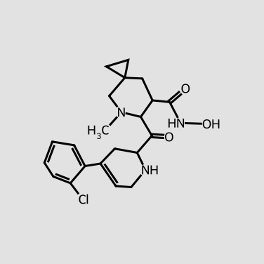 CN1CC2(CC2)CC(C(=O)NO)C1C(=O)C1CC(c2ccccc2Cl)=CCN1